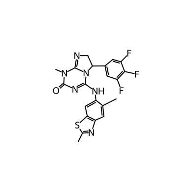 Cc1nc2cc(C)c(NC3=NC(=O)N(C)C4=NCC(c5cc(F)c(F)c(F)c5)N34)cc2s1